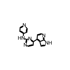 c1cc(Nc2nccc(-c3ccnc4[nH]ccc34)n2)ccn1